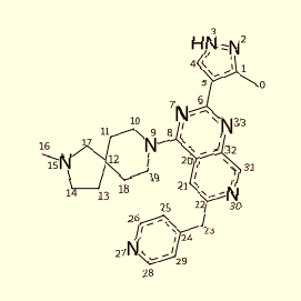 Cc1n[nH]cc1-c1nc(N2CCC3(CCN(C)C3)CC2)c2cc(Cc3ccncc3)ncc2n1